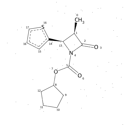 C[C@H]1C(=O)N(C(=O)OC2CCCC2)[C@H]1c1cccs1